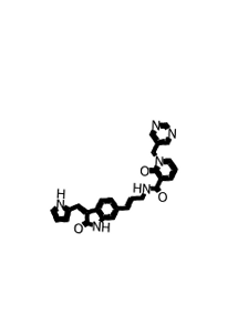 O=C1Nc2cc(/C=C/CNC(=O)c3cccn(Cc4cncnc4)c3=O)ccc2/C1=C/c1ccc[nH]1